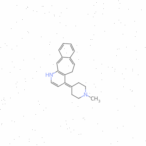 CN1CCC(=C2C=CNC3=C2CC=c2ccccc2=C3)CC1